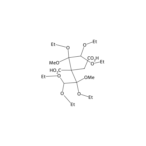 CCOC(OCC)C(OC)(OCC)C(CC(=O)O)(C(=O)O)C(OC)(OCC)C(OCC)OCC